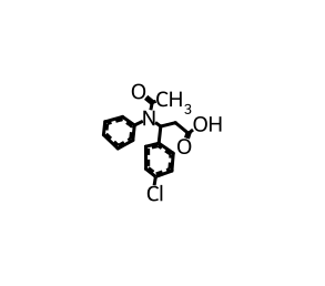 CC(=O)N(c1ccccc1)C(CC(=O)O)c1ccc(Cl)cc1